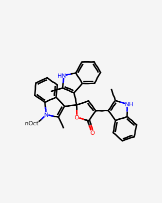 CCCCCCCCn1c(C)c(C2(c3c(C)[nH]c4ccccc34)C=C(c3c(C)[nH]c4ccccc34)C(=O)O2)c2ccccc21